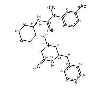 CC(=O)c1cccc(N(C#N)C(=N)N[C@@H]2CCCC[C@H]2CN2CC(=O)NC(Cc3ccccc3)C2)c1